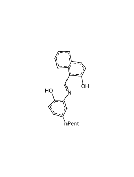 CCCCCc1ccc(O)c(N=Cc2c(O)ccc3ccccc23)c1